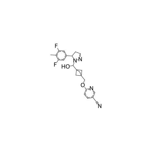 Cc1c(F)cc(C2CC=NN2C(O)C23CC(COc4ccc(C#N)cn4)(C2)C3)cc1F